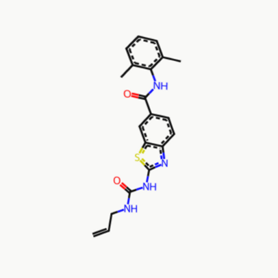 C=CCNC(=O)Nc1nc2ccc(C(=O)Nc3c(C)cccc3C)cc2s1